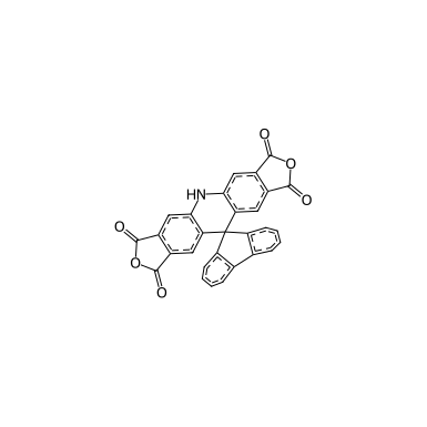 O=C1OC(=O)c2cc3c(cc21)Nc1cc2c(cc1C31c3ccccc3-c3ccccc31)C(=O)OC2=O